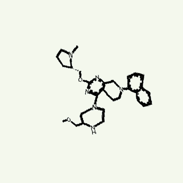 COCC1CN(c2nc(OC[C@@H]3CCCN3C)nc3c2CCN(c2cccc4ccccc24)C3)CCN1